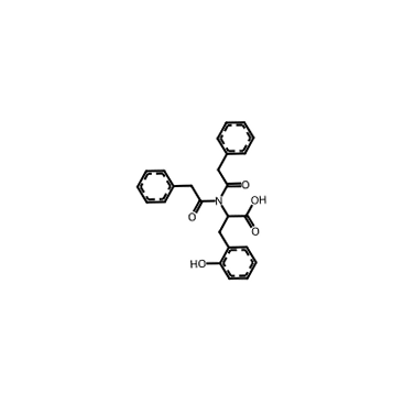 O=C(O)C(Cc1ccccc1O)N(C(=O)Cc1ccccc1)C(=O)Cc1ccccc1